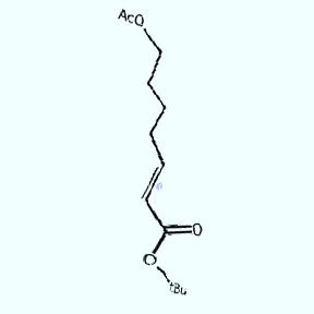 CC(=O)OCCCC/C=C/C(=O)OC(C)(C)C